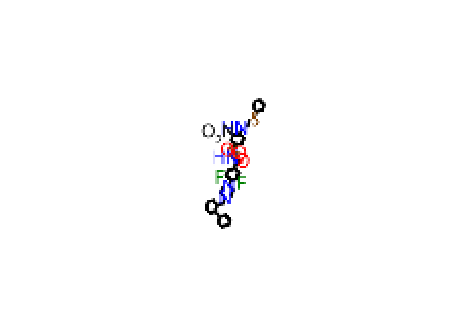 O=C(NS(=O)(=O)c1ccc(NCCSc2ccccc2)c([N+](=O)[O-])c1)c1cc(F)c(N2CCN(Cc3ccccc3-c3ccccc3)CC2)c(F)c1